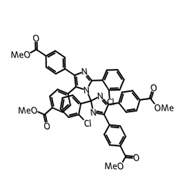 COC(=O)c1ccc(C2=NC(c3ccccc3Cl)(n3c(-c4ccccc4Cl)nc(-c4ccc(C(=O)OC)cc4)c3-c3ccc(C(=O)OC)cc3)N=C2c2ccc(C(=O)OC)cc2)cc1